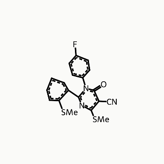 CSc1ccccc1-c1nc(SC)c(C#N)c(=O)n1-c1ccc(F)cc1